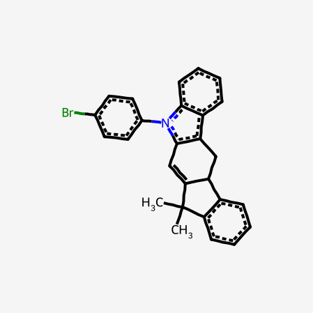 CC1(C)C2=Cc3c(c4ccccc4n3-c3ccc(Br)cc3)CC2c2ccccc21